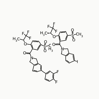 CC(Oc1ccc(S(C)(=O)=O)cc1C(=O)N1Cc2ccc(-c3ccc(F)c(F)c3)cc2C1)C(F)(F)F.C[C@H](Oc1ccc(S(C)(=O)=O)cc1C(=O)N1Cc2ccc(I)cc2C1)C(F)(F)F